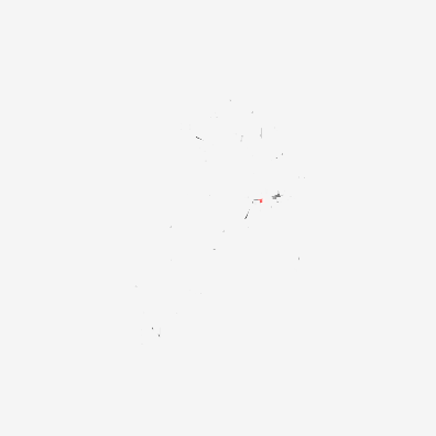 C[C@]1(O)CC[C@H]2C3=C4C(C[C@@]21C)c1ccc(-c2ccc(C#N)cc2)cc1C[C@@]41CCC(=O)C=C1CC3